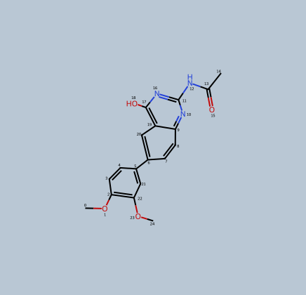 COc1ccc(-c2ccc3nc(NC(C)=O)nc(O)c3c2)cc1OC